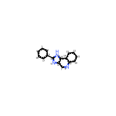 c1ccc(-c2nc3cnc4ccccc4c3[nH]2)cc1